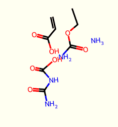 C=CC(=O)O.CCOC(N)=O.N.NC(=O)NC(=O)O